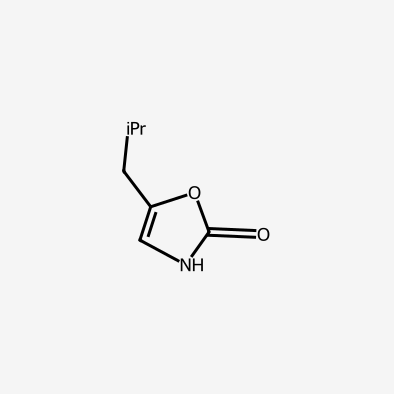 CC(C)Cc1c[nH]c(=O)o1